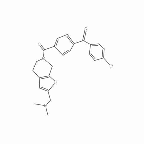 CN(C)Cc1cc2c(o1)CN(C(=O)c1ccc(C(=O)c3ccc(Cl)cc3)cc1)CC2